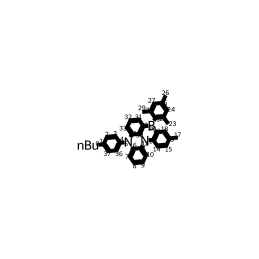 CCCCc1ccc(N2c3ccccc3N3c4ccc(C)cc4B(c4c(C)cc(C)cc4C)c4cccc2c43)cc1